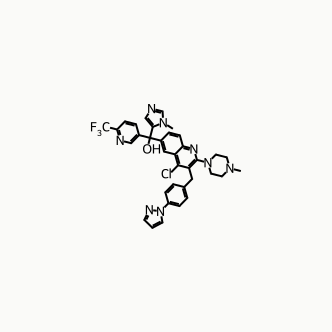 CN1CCN(c2nc3ccc(C(O)(c4ccc(C(F)(F)F)nc4)c4cncn4C)cc3c(Cl)c2Cc2ccc(-n3cccn3)cc2)CC1